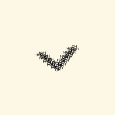 O[Si](O)(O)O.O[Si](O)(O)O.O[Si](O)(O)O.O[Si](O)(O)O.O[Si](O)(O)O.O[Si](O)(O)O.O[Si](O)(O)O.O[Si](O)(O)O.O[Si](O)(O)O.O[Si](O)(O)O.[Zr]